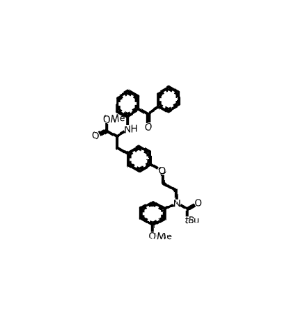 COC(=O)C(Cc1ccc(OCCN(C(=O)C(C)(C)C)c2cccc(OC)c2)cc1)Nc1ccccc1C(=O)c1ccccc1